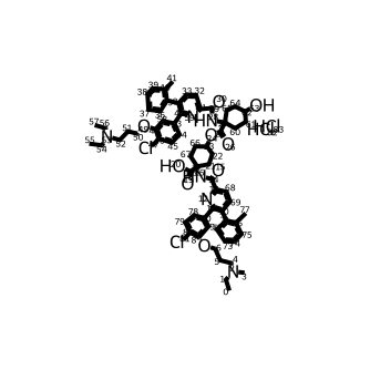 CCN(C)CCCOc1cc(-c2nc(C(=O)NC3(C(=O)O)CCC(OC(=O)C4(NC(=O)c5ccc(-c6ccccc6C)c(-c6ccc(Cl)c(OCCCN(CC)CC)c6)n5)CCC(O)CC4)CC3)ccc2-c2ccccc2C)ccc1Cl.Cl.Cl